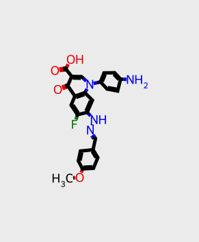 COc1ccc(C=NNc2cc3c(cc2F)c(=O)c(C(=O)O)cn3-c2ccc(N)cc2)cc1